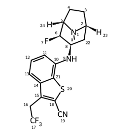 CN1[C@@H]2CC[C@H]1[C@H](F)[C@H](Nc1cccc3c(CC(F)(F)F)c(C#N)sc13)C2